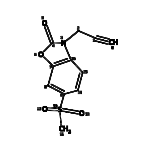 C#CCn1c(=O)oc2cc(S(C)(=O)=O)ccc21